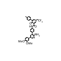 COc1ccc(-c2cnc(N)c(-c3ccc(NC(=O)c4cn(CC(F)(F)F)cc(-c5ccc(C)cc5)c4=O)cc3)c2)cc1OC